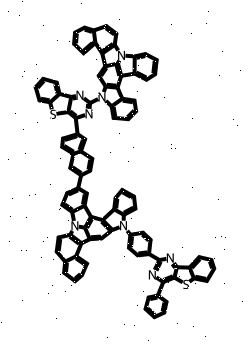 c1ccc(-c2nc(-c3ccc(-n4c5ccccc5c5c6c7cc(-c8ccc9cc(-c%10nc(-n%11c%12ccccc%12c%12c%13c%14ccccc%14n%14c%15ccc%16ccccc%16c%15c(cc%12%11)c%13%14)nc%11c%10sc%10ccccc%10%11)ccc9c8)ccc7n7c8ccc9ccccc9c8c(cc54)c67)cc3)nc3c2sc2ccccc23)cc1